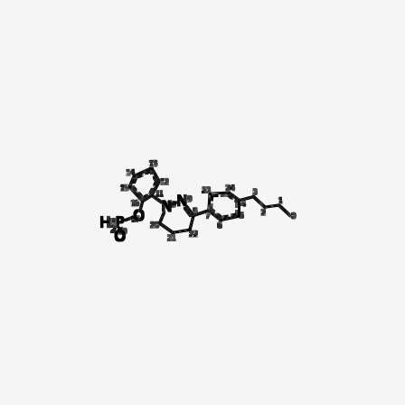 CCCCc1ccc(C2=NN(c3ccccc3O[PH2]=O)CCC2)cc1